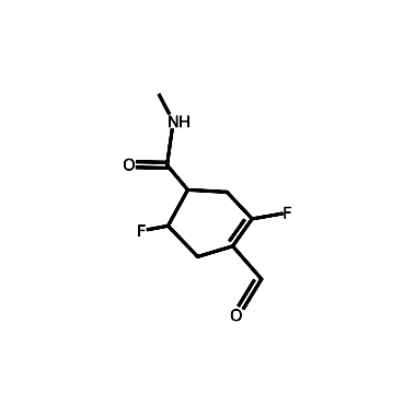 CNC(=O)C1CC(F)=C(C=O)CC1F